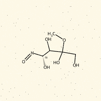 COC(O)(CO)C(O)[C@H](O)N=O